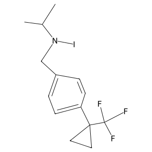 CC(C)N(I)Cc1ccc(C2(C(F)(F)F)CC2)cc1